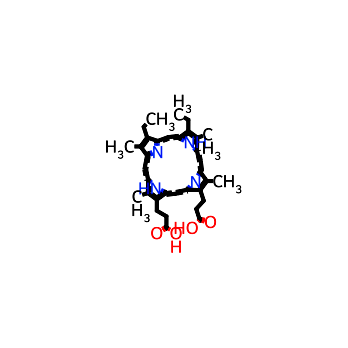 CCC1=C(C)c2cc3[nH]c(cc4nc(cc5[nH]c(cc1n2)c(CC)c5C)C(C)=C4CCC(=O)O)c(CCC(=O)O)c3C